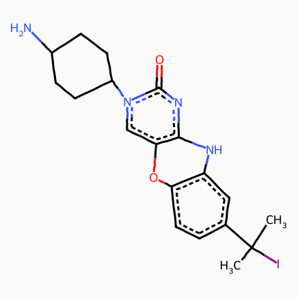 CC(C)(I)c1ccc2c(c1)Nc1nc(=O)n(C3CCC(N)CC3)cc1O2